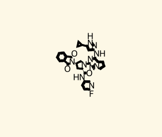 O=C(Nc1ccc(F)nc1)[C@@H]1C[C@H](N2C(=O)c3ccccc3C2=O)CN1c1nc(Nc2cc(C3CC3)[nH]n2)c2cccn2n1